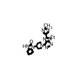 CCn1c(-c2cnc(C)nc2)nc2c(N3CCC(n4c(=O)[nH]c5ccccc54)CC3)ncnc21